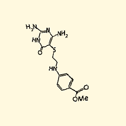 COC(=O)c1ccc(NCCSc2c(N)nc(N)[nH]c2=O)cc1